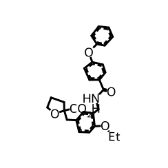 CCOc1ccc(CC2(C(=O)O)CCCO2)cc1CNC(=O)c1ccc(Oc2ccccc2)cc1